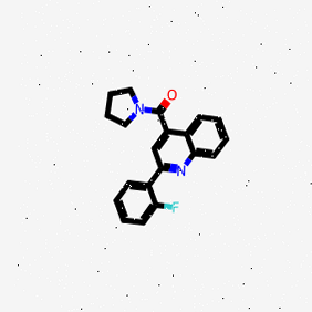 O=C(c1cc(-c2ccccc2F)nc2ccccc12)N1CCCC1